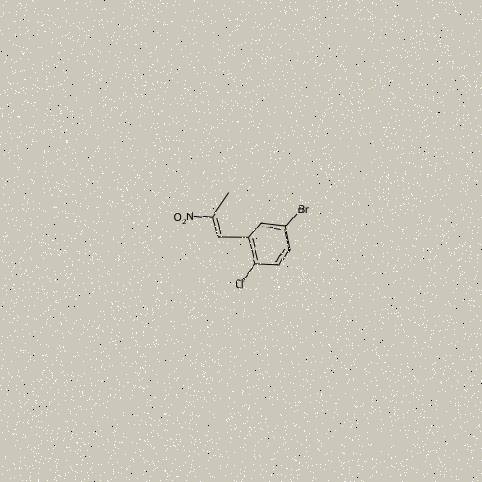 C/C(=C\c1cc(Br)ccc1Cl)[N+](=O)[O-]